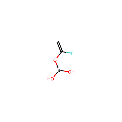 C=C(F)OB(O)O